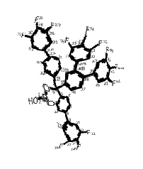 OB(O)OC(c1ccc(-c2cc(F)c(F)c(F)c2)cc1)(c1ccc(-c2cc(F)c(F)c(F)c2)cc1)c1ccc(-c2cc(F)c(F)c(F)c2)c(-c2cc(F)c(F)c(F)c2)c1